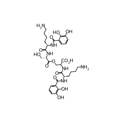 NCCCC[C@@H](NC(=O)c1cccc(O)c1O)C(=O)N[C@@H](COC(=O)[C@H](CO)NC(=O)[C@@H](CCCCN)NC(=O)c1cccc(O)c1O)C(=O)O